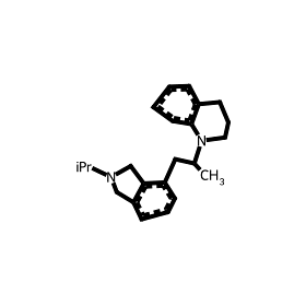 CC(C)N1Cc2cccc(CC(C)N3CCCc4ccccc43)c2C1